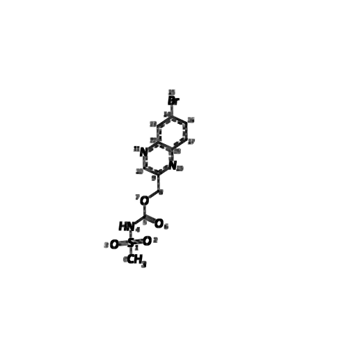 CS(=O)(=O)NC(=O)OCc1cnc2cc(Br)ccc2n1